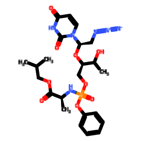 CC(C)COC(=O)[C@H](C)NP(=O)(OC[C@@H](O[C@H](CN=[N+]=[N-])n1ccc(=O)[nH]c1=O)C(C)O)Oc1ccccc1